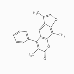 Cc1c(-c2ccccc2)c2cc3c(C)coc3c(C)c2oc1=O